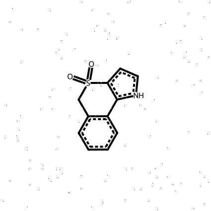 O=S1(=O)Cc2ccccc2-c2[nH]ccc21